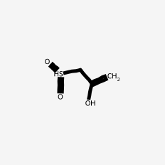 C=C(O)C[SH](=O)=O